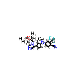 CCN(c1ccc(C#N)c(C(F)(F)F)c1)C1CC=C(c2cncn2CC(C)(C)OC)C1